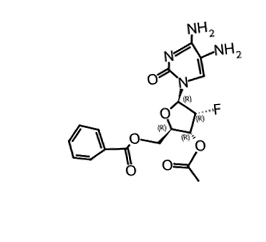 CC(=O)O[C@H]1[C@@H](F)[C@H](n2cc(N)c(N)nc2=O)O[C@@H]1COC(=O)c1ccccc1